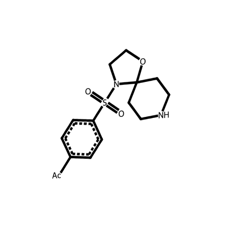 CC(=O)c1ccc(S(=O)(=O)N2CCOC23CCNCC3)cc1